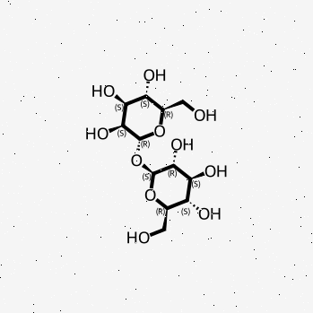 OC[C@H]1O[C@H](O[C@@H]2O[C@H](CO)[C@@H](O)[C@H](O)[C@H]2O)[C@@H](O)[C@@H](O)[C@@H]1O